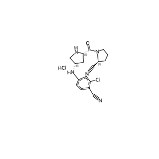 Cl.N#Cc1ccc(N[C@@H]2CN[C@H](C(=O)N3CCC[C@H]3C#N)C2)cc1Cl